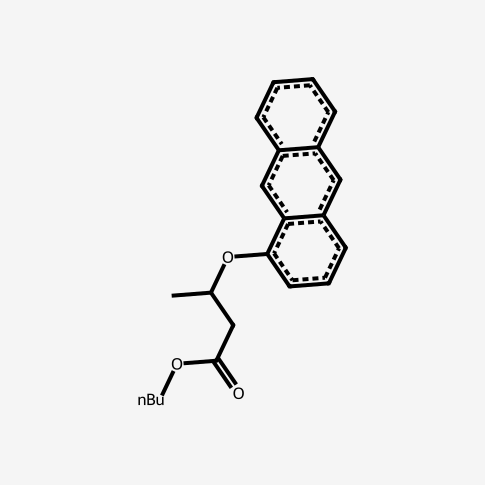 CCCCOC(=O)CC(C)Oc1cccc2cc3ccccc3cc12